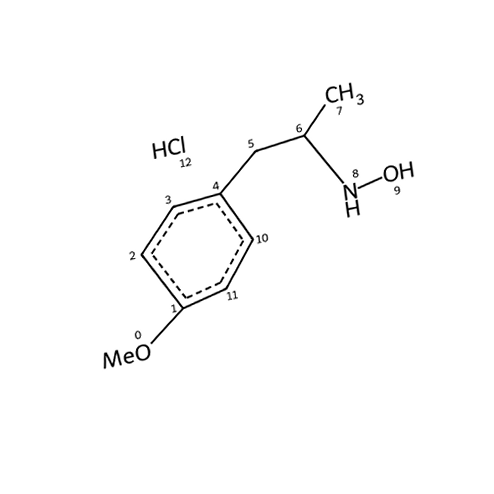 COc1ccc(CC(C)NO)cc1.Cl